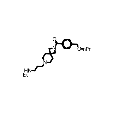 CCCOCc1ccc(C(=O)N2CC3(CCN(CCCNCC)CC3)C2)cc1